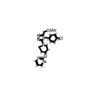 COCc1nnc(N2CCC(Oc3ncccn3)CC2)n1-c1ccc(Cl)cc1